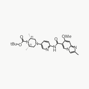 COc1cc2nc(C)cn2cc1C(=O)Nc1ccc(N2C[C@@H](C)N(C(=O)OC(C)(C)C)[C@@H](C)C2)cn1